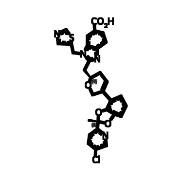 C[C@]1(c2ccc(Cl)cn2)Oc2cccc(C3=CC[C@H](Cc4nc5ccc(C(=O)O)cc5n4Cc4cncs4)OC3)c2O1